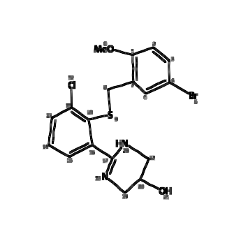 COc1ccc(Br)cc1CSc1c(Cl)cccc1C1=NCC(O)CN1